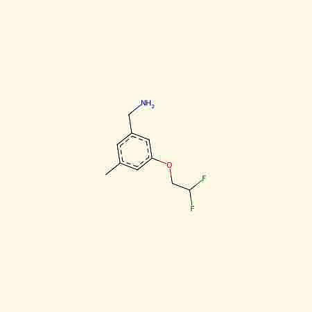 Cc1cc(CN)cc(OCC(F)F)c1